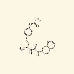 CC(=O)Oc1ccc(CCC(C)NC(=O)Nc2ccc3cccnc3c2)cc1